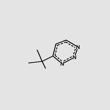 CC(C)(C)c1ccnnn1